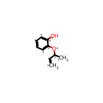 C=CC(C)Oc1ccccc1O